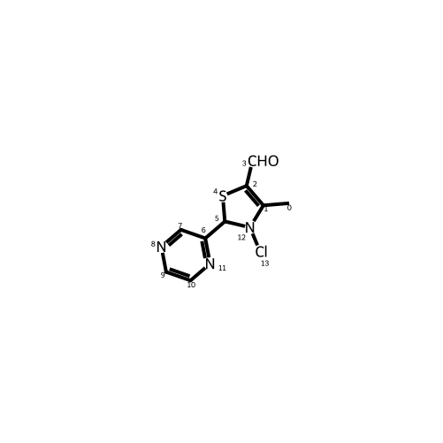 CC1=C(C=O)SC(c2cnccn2)N1Cl